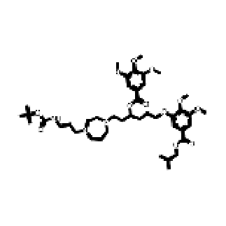 COc1cc(C(=O)OC(CCCOc2cc(C(=O)OCC(C)C)cc(OC)c2OC)CCN2CCCN(CCCNC(=O)OC(C)(C)C)CC2)cc(OC)c1OC